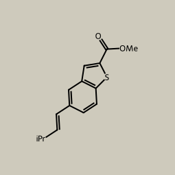 COC(=O)c1cc2cc(/C=C/C(C)C)ccc2s1